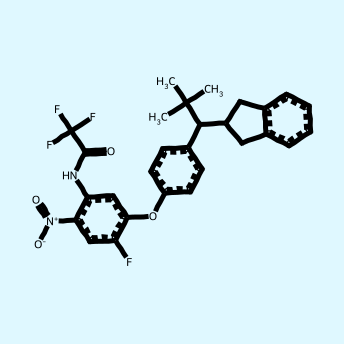 CC(C)(C)[C](c1ccc(Oc2cc(NC(=O)C(F)(F)F)c([N+](=O)[O-])cc2F)cc1)C1Cc2ccccc2C1